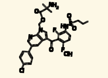 CCCS(=O)(=O)Nc1ccc(F)c(C(=O)c2cn(COC(=O)C(C)(C)N)c3ncc(-c4ccc(Cl)cc4)cc23)c1F.Cl